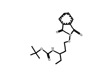 CCC(CCON1C(=O)c2ccccc2C1=O)NC(=O)OC(C)(C)C